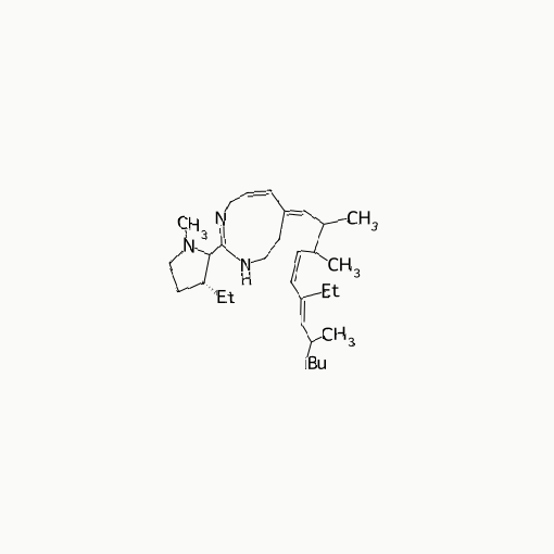 CCC(/C=C\C(C)C(C)/C=C1/C=C\C/N=C(/C2[C@H](CC)CCN2C)NCC1)=C\C(C)C(C)CC